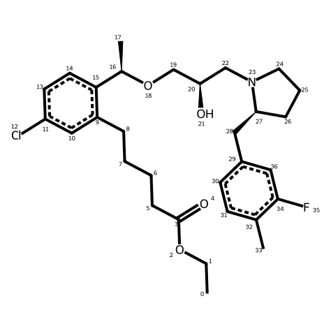 CCOC(=O)CCCCc1cc(Cl)ccc1[C@@H](C)OC[C@H](O)CN1CCC[C@H]1Cc1ccc(C)c(F)c1